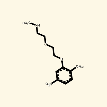 COc1ccc([N+](=O)[O-])cc1OCCOCCNC(=O)O